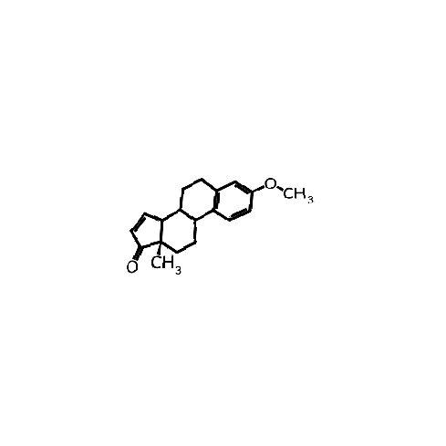 COc1ccc2c(c1)CCC1C2CC[C@]2(C)C(=O)C=CC12